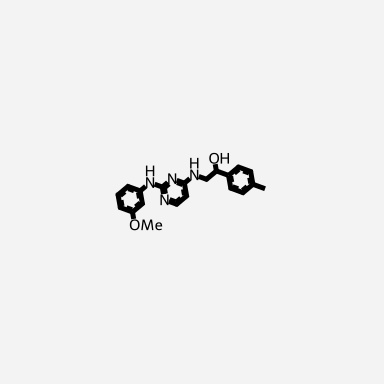 COc1cccc(Nc2nccc(NCC(O)c3ccc(C)cc3)n2)c1